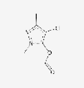 Cc1nn(C)c(OC=O)c1Cl